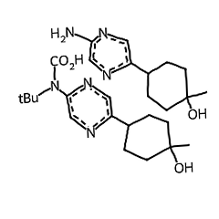 CC1(O)CCC(c2cnc(N(C(=O)O)C(C)(C)C)cn2)CC1.CC1(O)CCC(c2cnc(N)cn2)CC1